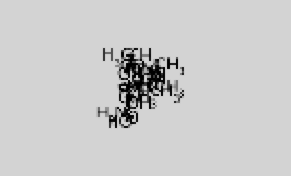 CC(C)=C1OC(=O)N(c2cc(OC3CCCC3)c(Cl)cc2F)C1=O.CP(=O)(O)CCC(N)C(=O)O.CSc1nnc(C(C)(C)C)c(=O)n1N